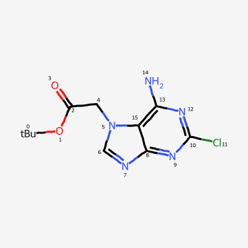 CC(C)(C)OC(=O)Cn1cnc2nc(Cl)nc(N)c21